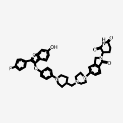 O=C1CCC(N2Cc3cc(N4CCN(CC5CCN(c6ccc(Oc7c(-c8ccc(F)cc8)sc8cc(O)ccc78)cc6)CC5)CC4)ccc3C2=O)C(=O)N1